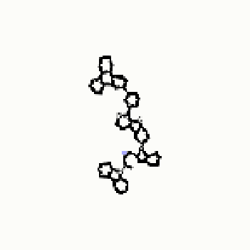 C=C(/C=C\c1cc2ccccc2n1-c1ccc2sc3c(-c4cccc(-c5ccc6c7ccccc7c7ccccc7c6c5)c4)nccc3c2c1)n1c2ccccc2c2ccccc21